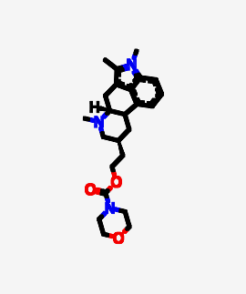 Cc1c2c3c(cccc3n1C)C1C[C@@H](CCOC(=O)N3CCOCC3)CN(C)[C@@H]1C2